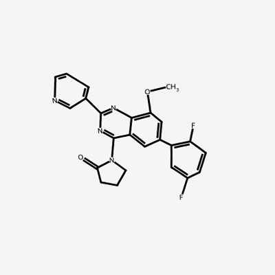 COc1cc(-c2cc(F)ccc2F)cc2c(N3CCCC3=O)nc(-c3cccnc3)nc12